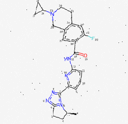 C[C@H]1CCc2nnc(-c3cccc(NC(=O)c4cc5c(cc4F)CCN(C4CC4)C5)n3)n21